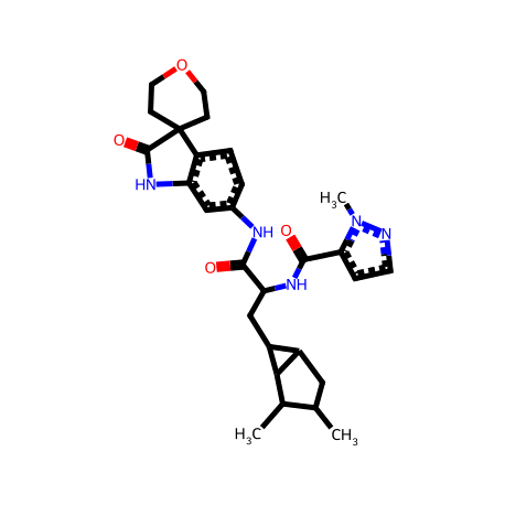 CC1CC2C(CC(NC(=O)c3ccnn3C)C(=O)Nc3ccc4c(c3)NC(=O)C43CCOCC3)C2C1C